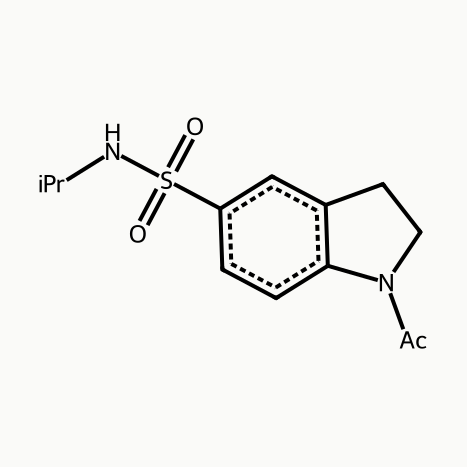 CC(=O)N1CCc2cc(S(=O)(=O)NC(C)C)ccc21